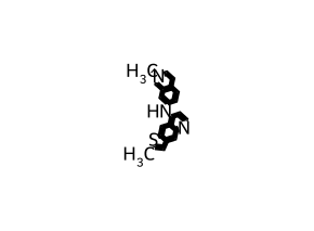 Cc1cc2cc3nccc(Nc4ccc5c(c4)CN(C)CC5)c3cc2s1